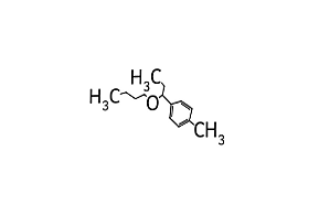 CCCCOC(CC)c1ccc(C)cc1